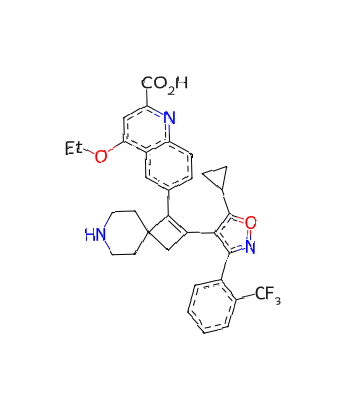 CCOc1cc(C(=O)O)nc2ccc(C3=C(c4c(-c5ccccc5C(F)(F)F)noc4C4CC4)CC34CCNCC4)cc12